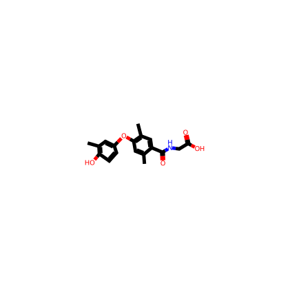 Cc1cc(Oc2cc(C)c(C(=O)NCC(=O)O)cc2C)ccc1O